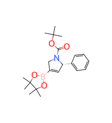 CC(C)(C)OC(=O)N1CC(B2OC(C)(C)C(C)(C)O2)=C[C@H]1c1ccccc1